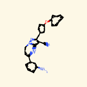 N#Cc1c(-c2ccc(Oc3ccccc3)cc2)nn2ccc(-c3cccc(N)c3)nc12